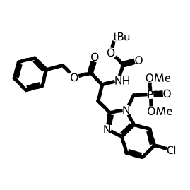 COP(=O)(Cn1c(CC(NC(=O)OC(C)(C)C)C(=O)OCc2ccccc2)nc2ccc(Cl)cc21)OC